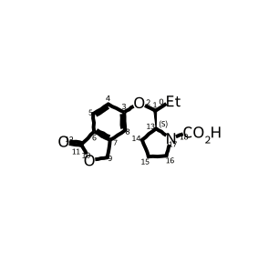 CCC(Oc1ccc2c(c1)COC2=O)[C@@H]1CCCN1C(=O)O